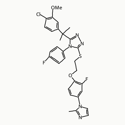 COc1cc(C(C)(C)c2nnc(SCCOc3ccc(-n4ccnc4C)cc3F)n2-c2ccc(F)cc2)ccc1Cl